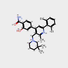 CCc1cccc(CC)c1-c1cc(-c2ccc(C(N)=O)c(O)c2)c(CN2CCCC(C)(C)C2)c(C)n1